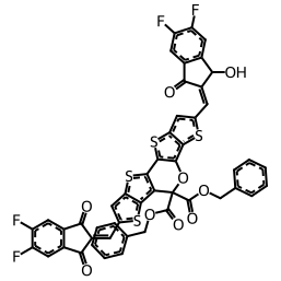 O=C1C(=Cc2cc3sc4c(c3s2)C(C(=O)OCc2ccccc2)(C(=O)OCc2ccccc2)Oc2c-4sc3cc(/C=C4\C(=O)c5cc(F)c(F)cc5C4O)sc23)C(=O)c2cc(F)c(F)cc21